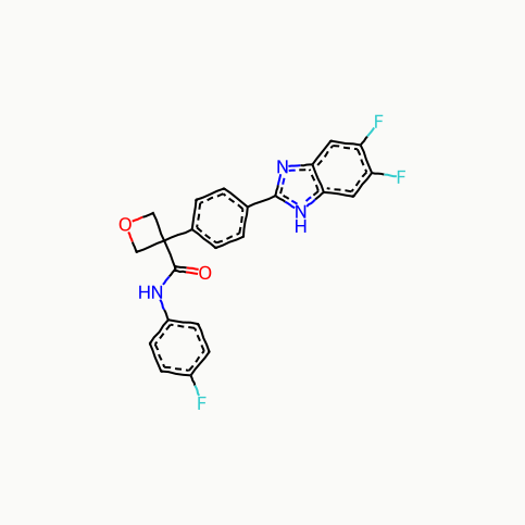 O=C(Nc1ccc(F)cc1)C1(c2ccc(-c3nc4cc(F)c(F)cc4[nH]3)cc2)COC1